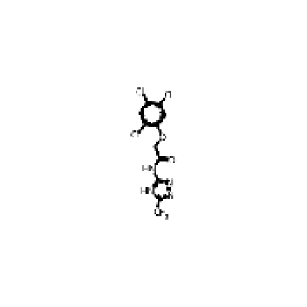 O=C(COc1cc(Cl)c(Cl)cc1Cl)Nc1nnc(C(F)(F)F)[nH]1